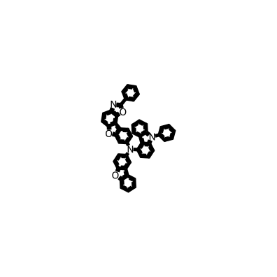 c1ccc(-c2nc3ccc4oc5cc(N(c6ccc7oc8ccccc8c7c6)c6cccc7c6c6ccccc6n7-c6ccccc6)ccc5c4c3o2)cc1